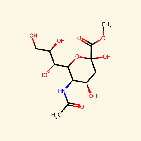 COC(=O)C1(O)C[C@@H](O)[C@@H](NC(C)=O)C([C@H](O)[C@H](O)CO)O1